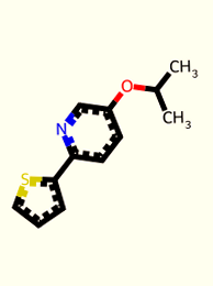 CC(C)Oc1ccc(-c2cccs2)nc1